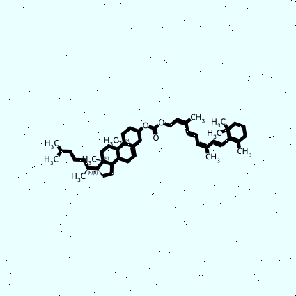 CC(C=CC1=C(C)CCCC1(C)C)=CC=CC(C)=CCOC(=O)OC1CC[C@@]2(C)C(=CCC3C2CC[C@@]2(C)C3CC[C@@H]2[C@H](C)CCCC(C)C)C1